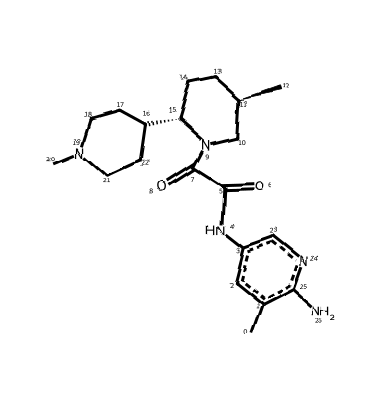 Cc1cc(NC(=O)C(=O)N2C[C@H](C)CC[C@H]2C2CCN(C)CC2)cnc1N